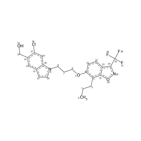 CCCc1c(OCCCn2ccc3cc(CO)c(Cl)cc32)ccc2c(C(F)(F)F)noc12